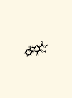 COC(=O)c1nc2[nH]c3ccccc3n2c(=O)c1O